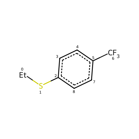 CCSc1ccc(C(F)(F)F)cc1